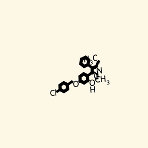 CCc1nn(C)c(-c2ccc(OCc3ccc(Cl)cc3)cc2O)c1-c1ccccc1